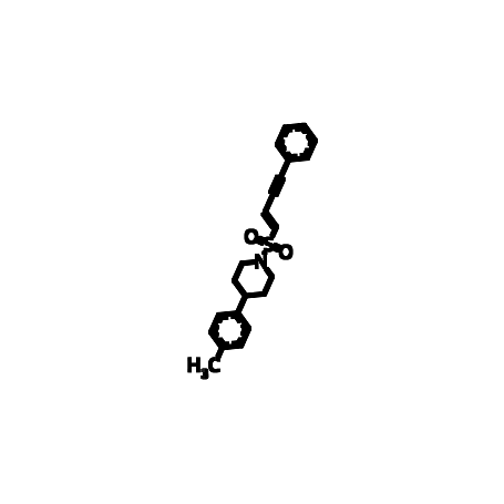 Cc1ccc(C2CCN(S(=O)(=O)/C=C/C#Cc3ccccc3)CC2)cc1